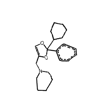 C1=C(CN2CCCCC2)OC(c2ccccc2)(C2CCCCC2)O1